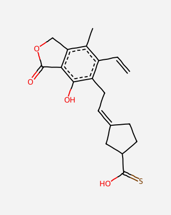 C=Cc1c(C)c2c(c(O)c1C/C=C1\CCC(C(O)=S)C1)C(=O)OC2